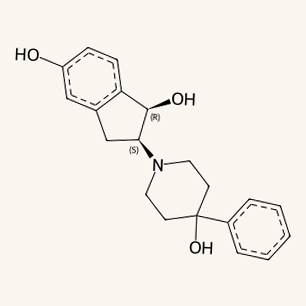 Oc1ccc2c(c1)C[C@H](N1CCC(O)(c3ccccc3)CC1)[C@@H]2O